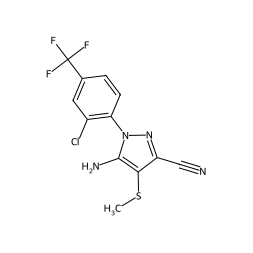 CSc1c(C#N)nn(-c2ccc(C(F)(F)F)cc2Cl)c1N